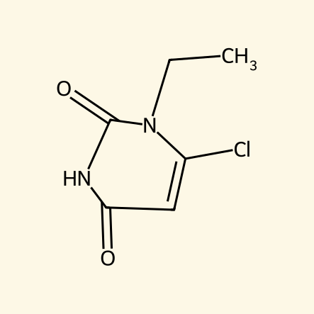 CCn1c(Cl)cc(=O)[nH]c1=O